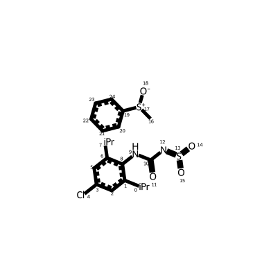 CC(C)c1cc(Cl)cc(C(C)C)c1NC(=O)N=S(=O)=O.C[S+]([O-])c1ccccc1